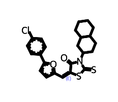 O=C1/C(=C\c2ccc(-c3ccc(Cl)cc3)o2)SC(=S)N1C1CCC2CCCCC2C1